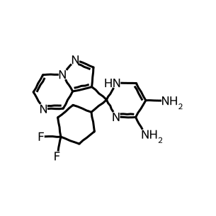 NC1=CNC(c2cnn3ccncc23)(C2CCC(F)(F)CC2)N=C1N